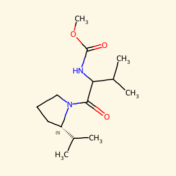 COC(=O)NC(C(=O)N1CCC[C@H]1C(C)C)C(C)C